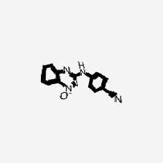 N#Cc1ccc(Nc2nc3ccccc3[n+]([O-])n2)cc1